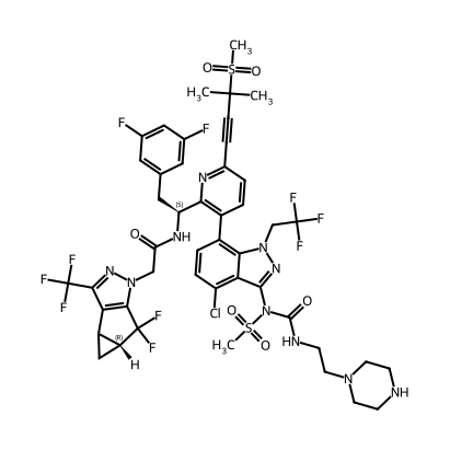 CC(C)(C#Cc1ccc(-c2ccc(Cl)c3c(N(C(=O)NCCN4CCNCC4)S(C)(=O)=O)nn(CC(F)(F)F)c23)c([C@H](Cc2cc(F)cc(F)c2)NC(=O)Cn2nc(C(F)(F)F)c3c2C(F)(F)[C@@H]2CC32)n1)S(C)(=O)=O